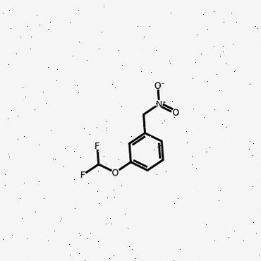 O=[N+]([O-])Cc1cccc(OC(F)F)c1